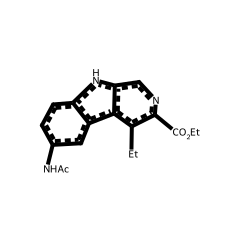 CCOC(=O)c1ncc2[nH]c3ccc(NC(C)=O)cc3c2c1CC